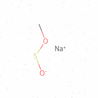 COS[O-].[Na+]